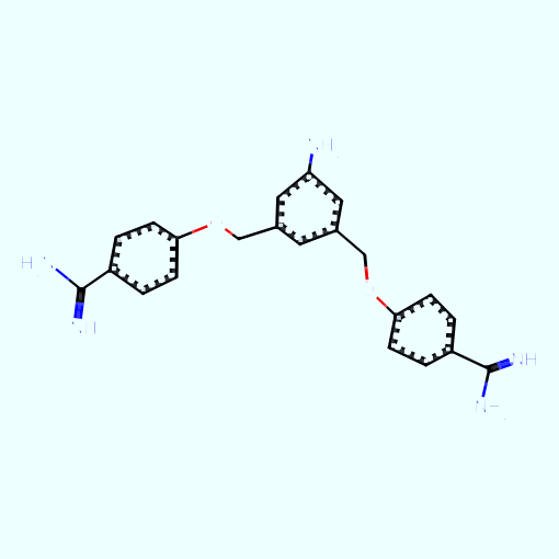 N=C(N)c1ccc(OCc2cc(N)cc(COc3ccc(C(=N)N)cc3)c2)cc1